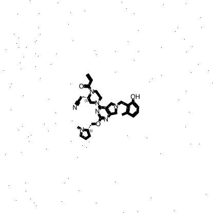 C=CC(=O)N1CCN(c2nc(OC[C@@H]3CCCN3C)nc3c2CN(Cc2c(C)cccc2O)C3)C[C@@H]1CC#N